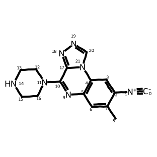 [C-]#[N+]c1cc2c(cc1C)nc(N1CCNCC1)c1nncn12